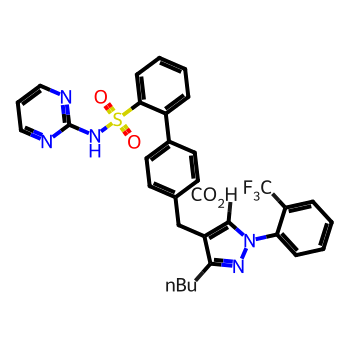 CCCCc1nn(-c2ccccc2C(F)(F)F)c(C(=O)O)c1Cc1ccc(-c2ccccc2S(=O)(=O)Nc2ncccn2)cc1